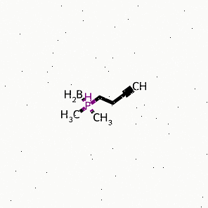 B[PH](C)(C)CCC#C